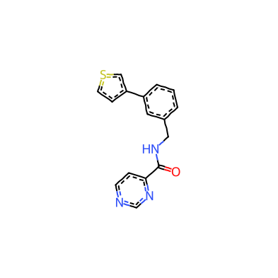 O=C(NCc1cccc(-c2ccsc2)c1)c1ccncn1